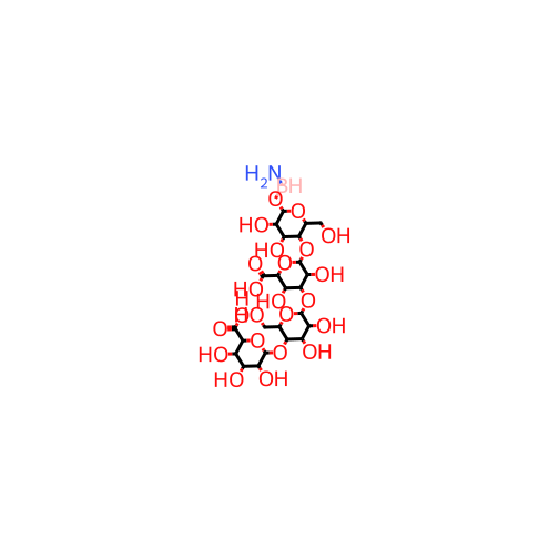 NBOC1OC(CO)C(OC2OC(C(=O)O)C(O)C(OC3OC(CO)C(OC4OC(C(=O)O)C(O)C(O)C4O)C(O)C3O)C2O)C(O)C1O